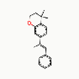 CC(=Cc1ccccc1)c1ccc2c(c1)OCCC2(C)C